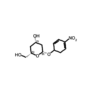 O=[N+]([O-])C1=CCC(O[C@H]2C[C@@H](O)C[C@@H](CO)O2)C=C1